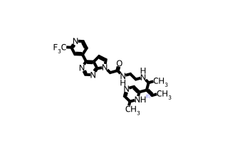 C/C=C(/C1=CN=CC(C)N1)C(C)NCCNC(=O)Cn1ccc2c(-c3ccnc(C(F)(F)F)c3)ncnc21